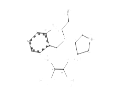 CC(C)CCN(Cc1ccccc1C(F)(F)F)[C@H]1CCNC1.O=C(O)C(O)C(O)C(=O)O